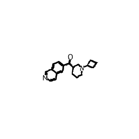 O=C(c1ccc2cnccc2c1)C1CCCN(C2CCC2)C1